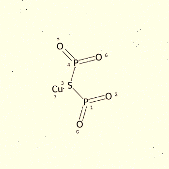 O=P(=O)SP(=O)=O.[Cu]